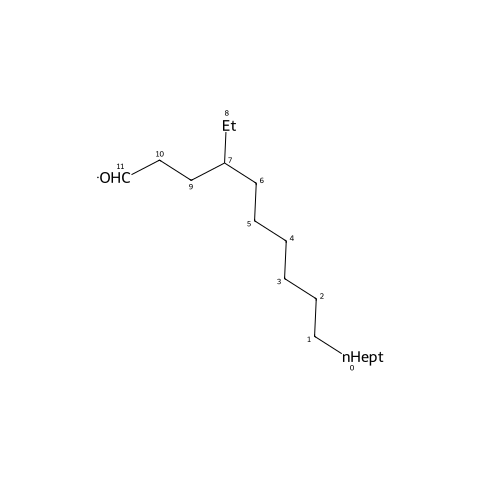 CCCCCCCCCCCCCC(CC)CC[C]=O